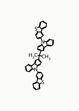 CC(C)(c1ccc2c(c1)c1ccccc1n2-c1ccc2sc3ccccc3c2c1)c1ccc2c(c1)c1ccccc1n2-c1ccc2sc3ccccc3c2c1